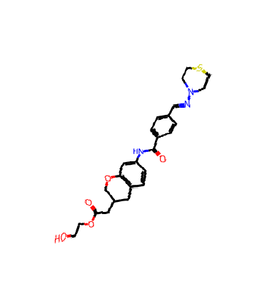 O=C(CC1COc2cc(NC(=O)c3ccc(C=NN4CCSCC4)cc3)ccc2C1)OCCO